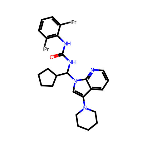 CC(C)c1cccc(C(C)C)c1NC(=O)NC(C1CCCC1)n1cc(N2CCCCC2)c2cccnc21